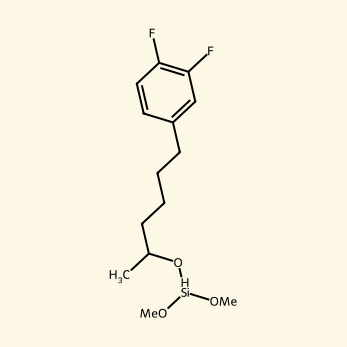 CO[SiH](OC)OC(C)CCCCc1ccc(F)c(F)c1